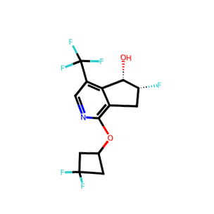 O[C@H]1c2c(C(F)(F)F)cnc(OC3CC(F)(F)C3)c2C[C@H]1F